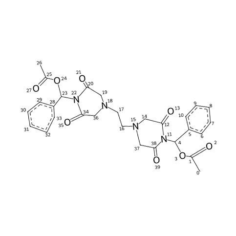 CC(=O)OC(c1ccccc1)N1C(=O)CN(CCN2CC(=O)N(C(OC(C)=O)c3ccccc3)C(=O)C2)CC1=O